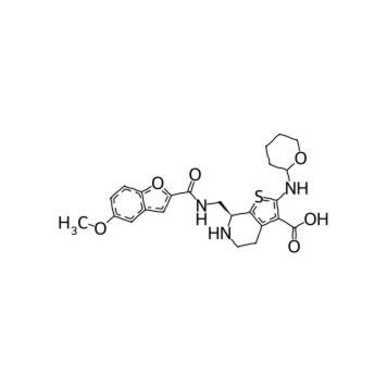 COc1ccc2oc(C(=O)NC[C@@H]3NCCc4c3sc(NC3CCCCO3)c4C(=O)O)cc2c1